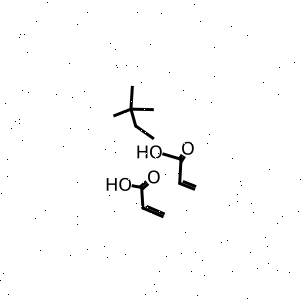 C=CC(=O)O.C=CC(=O)O.CCC(C)(C)C